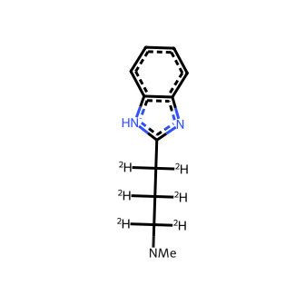 [2H]C([2H])(NC)C([2H])([2H])C([2H])([2H])c1nc2ccccc2[nH]1